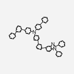 c1ccc(-c2ccc(N(c3ccc(-c4cccc(-c5ccccc5)c4)cc3)c3ccc(-c4cccc(-c5ccc6c(c5)nc(-c5ccccc5)n6-c5ccccc5)c4)cc3)cc2)cc1